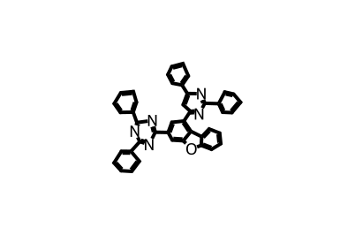 c1ccc(-c2cc(-c3cc(-c4nc(-c5ccccc5)nc(-c5ccccc5)n4)cc4oc5ccccc5c34)nc(-c3ccccc3)n2)cc1